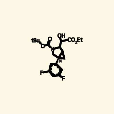 CCOC(=O)C(O)C1C2C[C@]2(c2cc(F)cc(F)c2)CN1C(=O)OC(C)(C)C